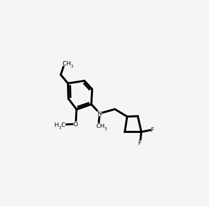 CCc1ccc(N(C)CC2CC(F)(F)C2)c(OC)c1